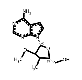 COC1C(C)[C@@H](CO)O[C@H]1n1ccc2c(N)ncnc21